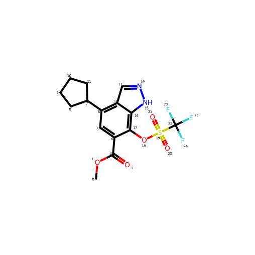 COC(=O)c1cc(C2CCCC2)c2cn[nH]c2c1OS(=O)(=O)C(F)(F)F